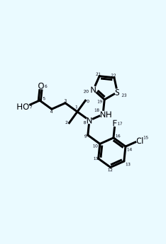 CC(C)(CCC(=O)O)N(Cc1cccc(Cl)c1F)Nc1nccs1